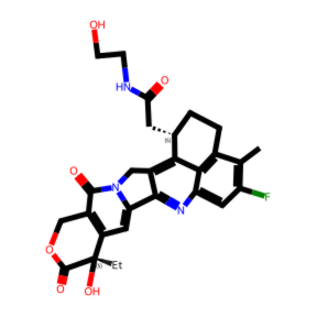 CC[C@@]1(O)C(=O)OCc2c1cc1n(c2=O)Cc2c-1nc1cc(F)c(C)c3c1c2[C@H](CC(=O)NCCO)CC3